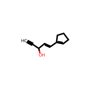 C#CC(O)C=CC1=CCCC1